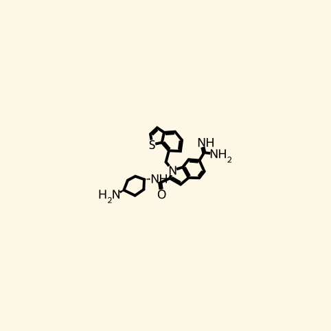 N=C(N)c1ccc2cc(C(=O)N[C@H]3CC[C@H](N)CC3)n(Cc3cccc4ccsc34)c2c1